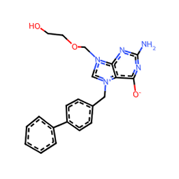 Nc1nc([O-])c2c(n1)n(COCCO)c[n+]2Cc1ccc(-c2ccccc2)cc1